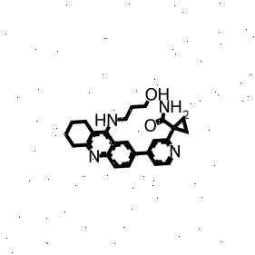 NC(=O)C1(c2cc(-c3ccc4nc5c(c(NCCCO)c4c3)CCCC5)ccn2)CC1